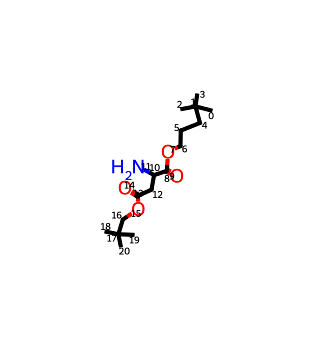 CC(C)(C)CCCOC(=O)C(N)CC(=O)OCC(C)(C)C